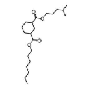 CCCCCCCOC(=O)C1CCCC(C(=O)OCCCC(C)C)C1